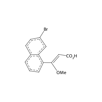 COC(=CC(=O)O)c1cccc2ccc(Br)cc12